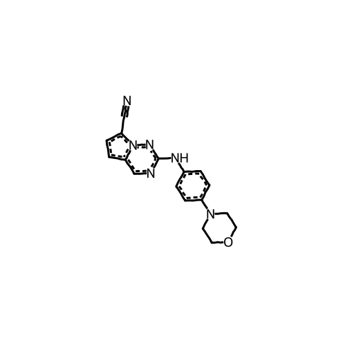 N#Cc1ccc2cnc(Nc3ccc(N4CCOCC4)cc3)nn12